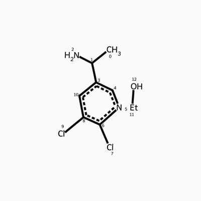 CC(N)c1cnc(Cl)c(Cl)c1.CCO